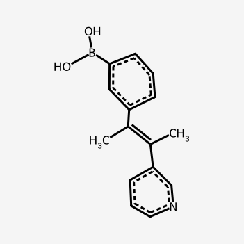 C/C(=C(/C)c1cccc(B(O)O)c1)c1cccnc1